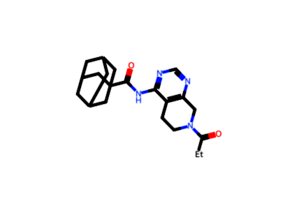 CCC(=O)N1CCc2c(ncnc2NC(=O)C23CC4CC(CC(C4)C2)C3)C1